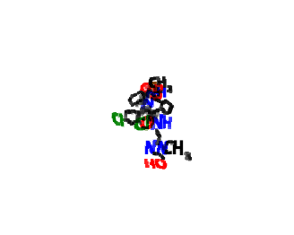 Cn1c(CO)cnc1CCNC(=O)[C@@H]1c2ccccc2C(=O)N([C@H]2CCCC[C@@H]2NS(C)(=O)=O)[C@H]1c1ccc(Cl)cc1Cl